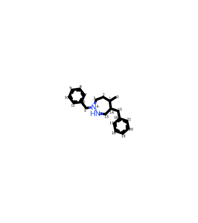 CC1CCN(Cc2ccccc2)NCC1Cc1ccccc1